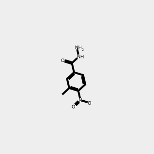 Cc1cc(C(=O)NN)ccc1[N+](=O)[O-]